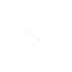 Cc1cnc(N2CCN(C(=O)OC(C)(C)C)CC2)cn1